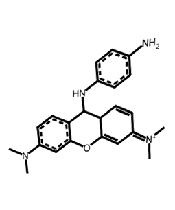 CN(C)c1ccc2c(c1)OC1=CC(=[N+](C)C)C=CC1C2Nc1ccc(N)cc1